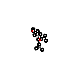 c1ccc(-c2ccccc2-c2ccccc2-c2ccccc2N(c2ccc(-c3ccc4c(c3)c3ccccc3n4-c3ccccc3)cc2)c2cccc3c2-c2ccccc2C32C3CC4CC(C3)CC2C4)cc1